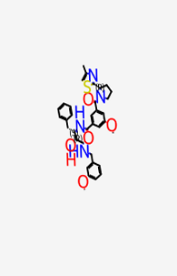 COc1cccc(CNC[C@@H](O)[C@H](Cc2ccccc2)NC(=O)c2cc(OC)cc(C(=O)N3CCC[C@@H]3c3nc(C)cs3)c2)c1